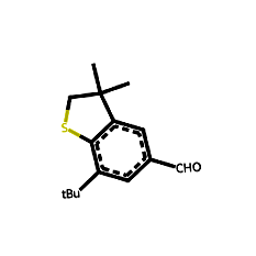 CC(C)(C)c1cc(C=O)cc2c1SCC2(C)C